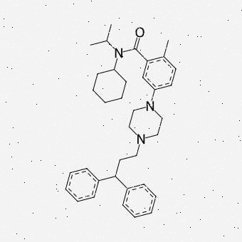 Cc1ccc(N2CCN(CCC(c3ccccc3)c3ccccc3)CC2)cc1C(=O)N(C(C)C)C1CCCCC1